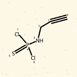 C#CCNP(=S)(Cl)Cl